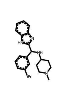 CC(C)c1cccc(C(NC2CCN(C)CC2)c2nc3ccccc3[nH]2)c1